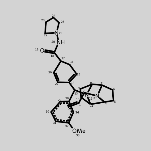 C=CCN1C2CCC1C1CCC2N1C(C1=CCC(C(=O)NN2CCCC2)C=C1)c1cccc(OC)c1